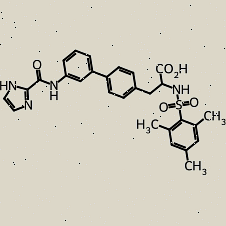 Cc1cc(C)c(S(=O)(=O)NC(Cc2ccc(-c3cccc(NC(=O)c4ncc[nH]4)c3)cc2)C(=O)O)c(C)c1